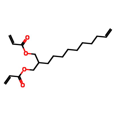 C=CCCCCCCCCC(COC(=O)C=C)COC(=O)C=C